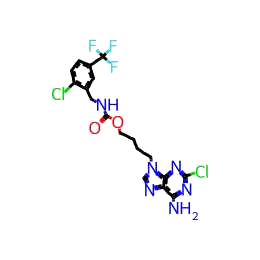 Nc1nc(Cl)nc2c1ncn2CCCCOC(=O)NCc1cc(C(F)(F)F)ccc1Cl